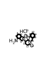 Cl.Nc1cccc2c1CN(C1CCC(=O)N(Cc3ccccc3)C1=O)C2=O